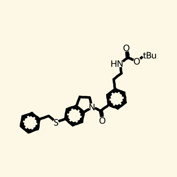 CC(C)(C)OC(=O)NCCc1cccc(C(=O)N2CCc3cc(SCc4ccccc4)ccc32)c1